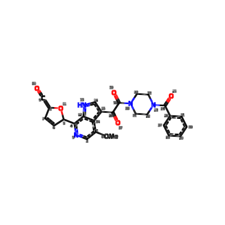 COc1cnc(C2C=CC(=C=O)O2)c2[nH]cc(C(=O)C(=O)N3CCN(C(=O)c4ccccc4)CC3)c12